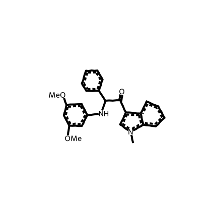 COc1cc(NC(C(=O)c2cn(C)c3ccccc23)c2ccccc2)cc(OC)c1